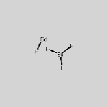 [F][Eu]([F])[F].[F][Gd]